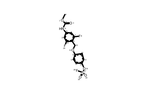 COC(=O)Nc1cc(F)c(COc2ccc(OS(=O)(=O)F)cc2)c(F)c1